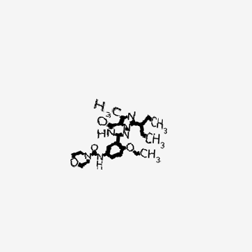 CCOc1ccc(NC(=O)N2CCOCC2)cc1-c1nn2c(C(CC)CC)nc(C)c2c(=O)[nH]1